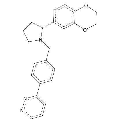 c1cnnc(-c2ccc(CN3CCC[C@@H]3c3ccc4c(c3)OCCO4)cc2)c1